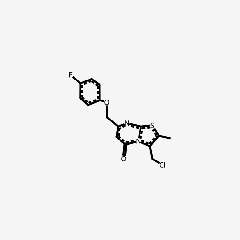 Cc1sc2nc(COc3ccc(F)cc3)cc(=O)n2c1CCl